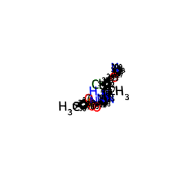 Cc1ccc(S(=O)(=O)NC(=O)c2ccc3nc(C)n(Cc4ccc(COc5cccnc5)cc4Cl)c3n2)cc1